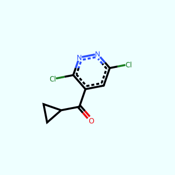 O=C(c1cc(Cl)nnc1Cl)C1CC1